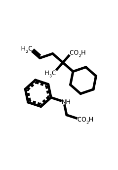 C=CCC(C)(C(=O)O)C1CCCCC1.O=C(O)CNc1ccccc1